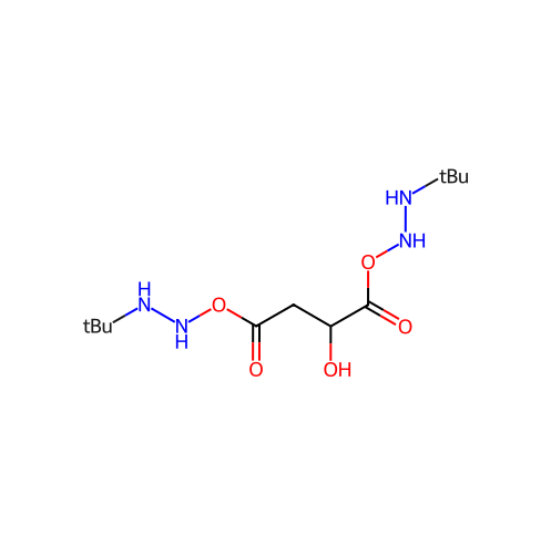 CC(C)(C)NNOC(=O)CC(O)C(=O)ONNC(C)(C)C